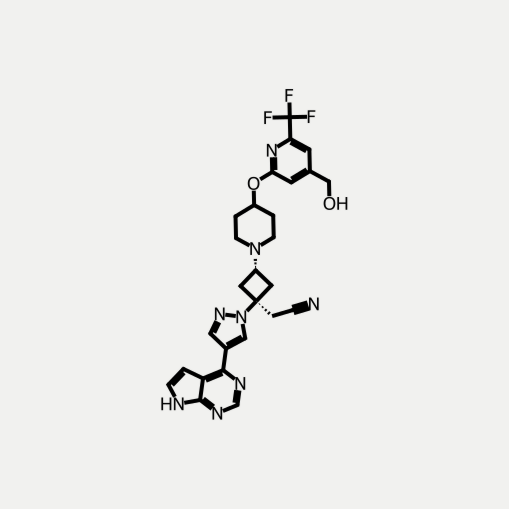 N#CC[C@]1(n2cc(-c3ncnc4[nH]ccc34)cn2)C[C@H](N2CCC(Oc3cc(CO)cc(C(F)(F)F)n3)CC2)C1